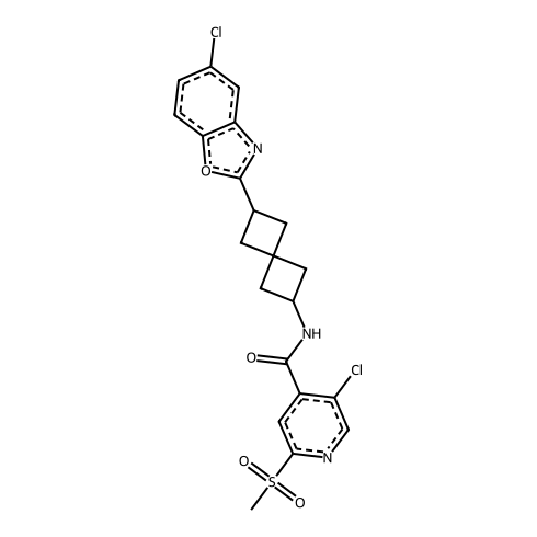 CS(=O)(=O)c1cc(C(=O)NC2CC3(C2)CC(c2nc4cc(Cl)ccc4o2)C3)c(Cl)cn1